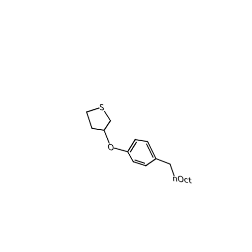 CCCCCCCCCc1ccc(OC2CCSC2)cc1